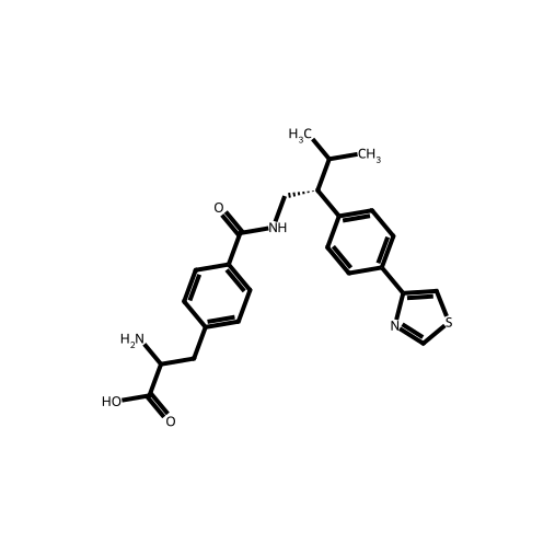 CC(C)[C@@H](CNC(=O)c1ccc(CC(N)C(=O)O)cc1)c1ccc(-c2cscn2)cc1